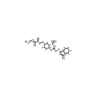 CONC(=O)/C=C/c1ccc(CN(CCO)CCc2c[nH]c3ccccc23)cc1